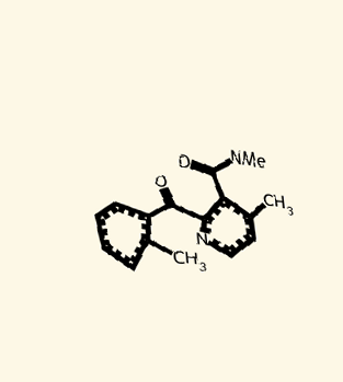 CNC(=O)c1c(C)ccnc1C(=O)c1ccccc1C